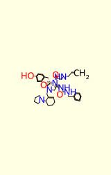 C=CCNCC(=O)N1[C@@H](NC(=O)NCc2ccccc2)CN(CC2=CCCCC2N2CCCC2)C(=O)[C@@H]1Cc1ccc(O)cc1